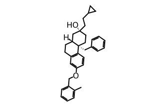 Cc1ccccc1COc1ccc2c(c1)CC[C@@H]1C[C@@](O)(CCC3CC3)CC[C@@]21Cc1ccccc1